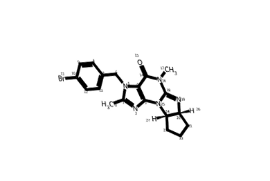 Cc1nc2c(n1Cc1ccc(Br)cc1)C(=O)N(C)C1=N[C@@H]3CCC[C@@H]3N12